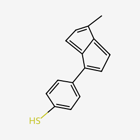 CC1=CC=C2C1=CC=C2c1ccc(S)cc1